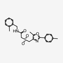 Cc1ccc(-c2nc(CS(=O)(=O)CC(=O)NCc3ccccc3C)c(C)o2)cc1